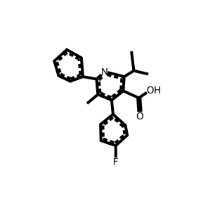 Cc1c(-c2ccccc2)nc(C(C)C)c(C(=O)O)c1-c1ccc(F)cc1